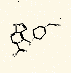 NC(=O)c1cnc2[nH]ccc2c1N[C@H]1CC[C@H](CO)CC1